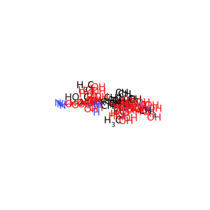 CCC(OC(C)=O)/C(OC(O)/C(O)=C(/O)C(C)O)=C(/O)C(O)OC(CC)C(O)C(CO)(OC(=O)[C@]12CCC(C)(C)CC1C1=CCC3[C@@]4(C)CC[C@H](OC(O)C(OC(O)/C(O)=C(/O)C(O)CCO)C(OC(O)C(O)C(O)C(C)O)C(O)CC(=O)O)[C@@](C)(/C=N/NC(=O)CCOCCOCCOCCOCCN=[N+]=[N-])C4CC[C@@]3(C)[C@]1(C)C[C@H]2O)OC1OC(C)C(OC(O)/C(O)=C(/OC(O)/C(O)=C(/O)C(O)CCO)C(C)O)C(O)C1O